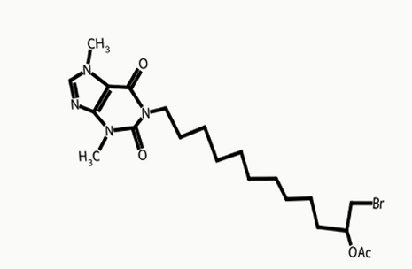 CC(=O)OC(CBr)CCCCCCCCCCn1c(=O)c2c(ncn2C)n(C)c1=O